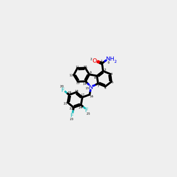 NC(=O)c1cccc2c1c1[c]cccc1n2Cc1cc(F)cc(F)c1F